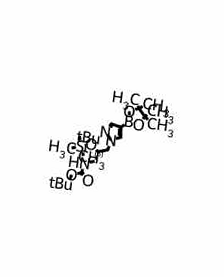 CC(C)(C)OC(=O)NC[C@@H](Cn1cc(B2OC(C)(C)C(C)(C)O2)cn1)O[Si](C)(C)C(C)(C)C